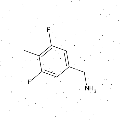 Cc1c(F)cc(CN)cc1F